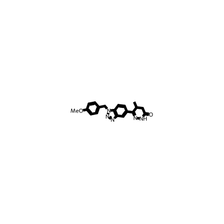 COc1ccc(Cn2nnc3cc(C4=NNC(=O)CC4C)ccc32)cc1